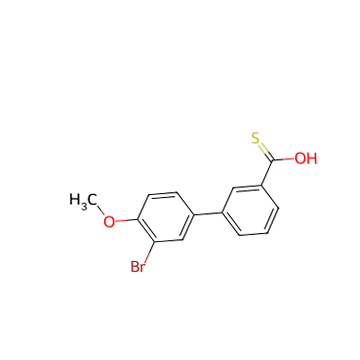 COc1ccc(-c2cccc(C(O)=S)c2)cc1Br